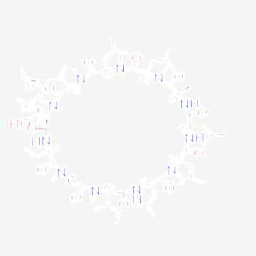 C/C=C/C[C@@H](C)[C@@H](O)[C@H]1C(=O)N[C@@H](CC)C(=O)N(C)CC(=O)N(C)[C@@H](C(C)CC)C(=O)N[C@@H](CC(C)C)C(=O)N(C)[C@@H](CC(C)C)C(=O)N[C@@H](CC(C)C)C(=O)N[C@H](C)C(=O)N(C)[C@@H](CC(C)C)C(=O)N(C)[C@@H](CC(C)C)C(=O)N(C)[C@@H](C(C)C)C(=O)N1C